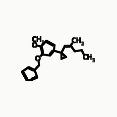 CCCC(C)=CC1(c2ccc(OC)c(OCc3ccccc3)c2)CC1